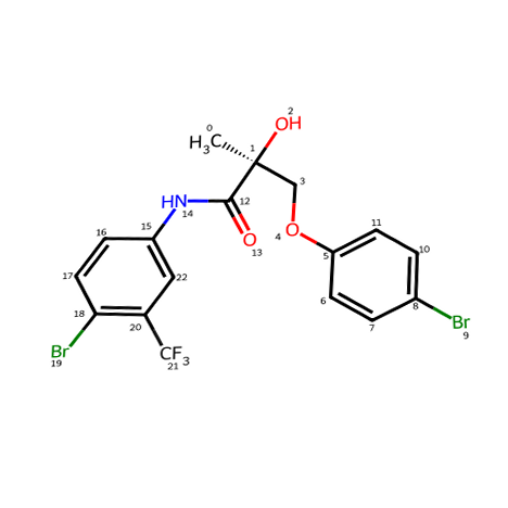 C[C@](O)(COc1ccc(Br)cc1)C(=O)Nc1ccc(Br)c(C(F)(F)F)c1